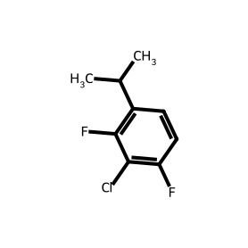 CC(C)c1ccc(F)c(Cl)c1F